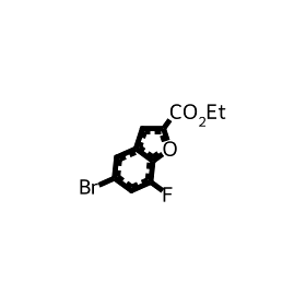 CCOC(=O)c1cc2cc(Br)cc(F)c2o1